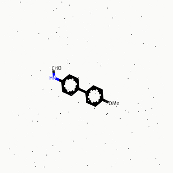 COc1ccc(-c2ccc(NC=O)cc2)cc1